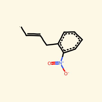 [CH2]C=CCc1ccccc1[N+](=O)[O-]